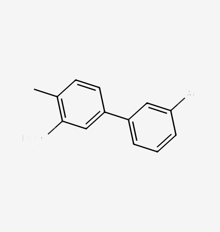 CC(=O)c1cccc(-c2ccc(C)c(C(=O)O)c2)c1